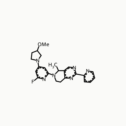 COC1CCN(c2cc(F)nc(N3CCc4nc(-c5ccccn5)ncc4C3C)c2)C1